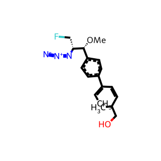 C/C=C(\C=C/C(C)CO)c1ccc([C@@H](OC)[C@@H](CF)N=[N+]=[N-])cc1